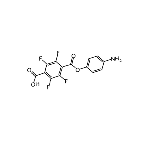 Nc1ccc(OC(=O)c2c(F)c(F)c(C(=O)O)c(F)c2F)cc1